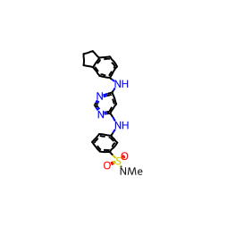 CNS(=O)(=O)c1cccc(Nc2cc(Nc3ccc4c(c3)CCC4)ncn2)c1